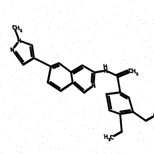 C=C(Nc1cc2cc(-c3cnn(C)c3)ccc2cn1)c1ccc(CC)c(CC)c1